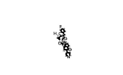 CC(C1CC1)N(Cc1ccc(F)cc1)C(=O)CN1C[C@]2(CCC3C(=O)C(c4ccncc4)=CC=C32)OC1=O